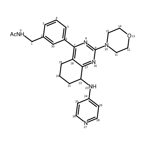 CC(=O)NCc1cccc(-c2nc(N3CCOCC3)nc3c2CCCC3Nc2ccncc2)c1